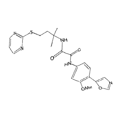 COc1cc(NC(=O)C(=O)NC(C)(C)CCSc2ncccn2)ccc1-c1cnco1